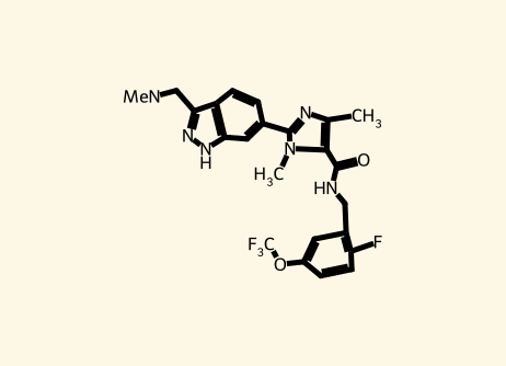 CNCc1n[nH]c2cc(-c3nc(C)c(C(=O)NCc4cc(OC(F)(F)F)ccc4F)n3C)ccc12